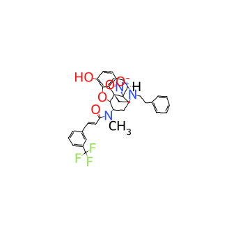 CN(C(=O)/C=C/c1cccc(C(F)(F)F)c1)C1CC[C@@]2([N+](=O)[O-])[C@H]3Cc4ccc(O)c5c4[C@@]2(CCN3CCc2ccccc2)C1O5